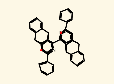 c1ccc(-c2cc3c(c(-c4nc(-c5ccccc5)cc5c4C4c6ccccc6C5c5ccccc54)n2)C2c4ccccc4C3c3ccccc32)cc1